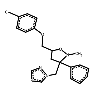 CN1OC(COc2ccc(Cl)cc2)CC1(Cn1cncn1)c1ccccc1